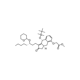 CCCCC[C@@H](CCC1=C2[C@H](CC1=O)Cc1c(OCC(=O)OC)cccc1[C@H]2O[Si](C)(C)C(C)(C)C)OC1CCCCO1